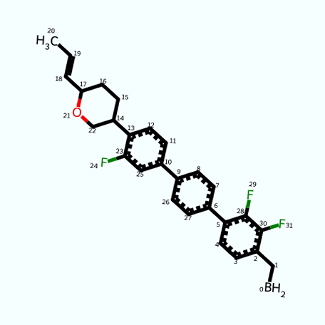 BCc1ccc(-c2ccc(-c3ccc(C4CCC(/C=C/C)OC4)c(F)c3)cc2)c(F)c1F